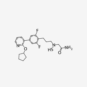 NC(=O)CN(S)CCCc1c(F)cc(-c2cccnc2OC2CCCC2)cc1F